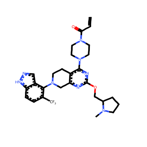 C=CC(=O)N1CCN(c2nc(OCC3CCCN3C)nc3c2CCN(c2c(C(F)(F)F)ccc4[nH]ncc24)C3)CC1